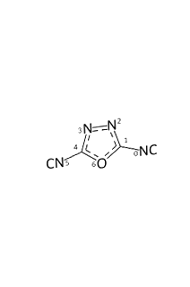 [C-]#[N+]c1nnc([N+]#[C-])o1